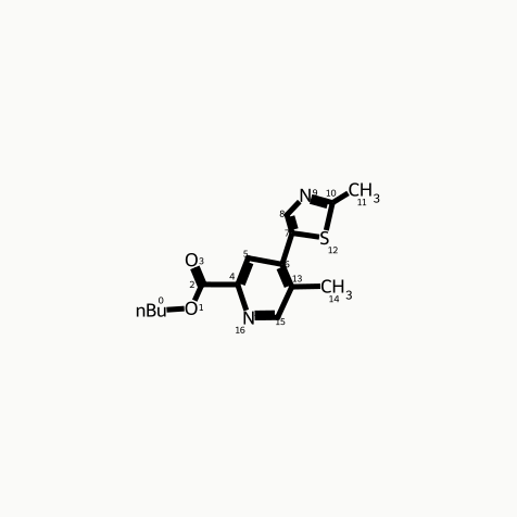 CCCCOC(=O)c1cc(-c2cnc(C)s2)c(C)cn1